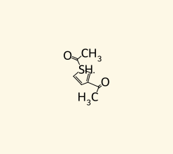 CC(=O)C1=[C][SH](C(C)=O)C=C1